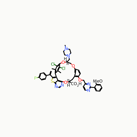 C=C(c1ccc(F)cc1)c1sc2ncnc3c2c1-c1c(C)c(Cl)c(c(Cl)c1C)O[C@H](CN1CCN(C)CC1)COc1ccc(OCc2ccnc(-c4ccccc4OC)n2)c(c1)C[C@H](C(=O)O)O3